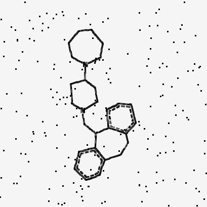 c1ccc2c(c1)CCc1ccccc1C2CN1CCC(N2CCCCCC2)CC1